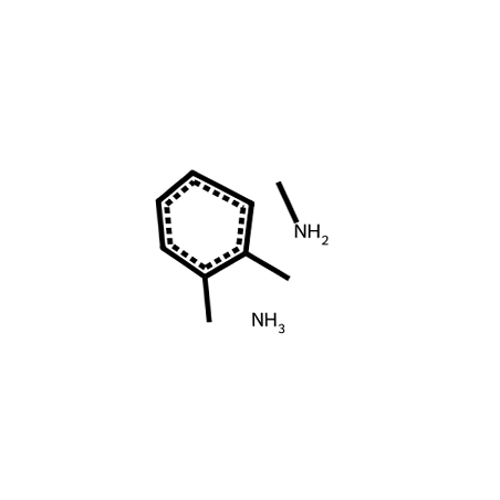 CN.Cc1ccccc1C.N